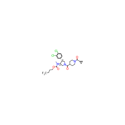 CN(C(=O)OCCCC(F)(F)F)[C@@H]1CN(C(=O)C2CCN(C(=O)C3=CC3)CC2)C[C@H]1c1ccc(Cl)c(Cl)c1